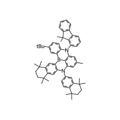 Cc1cc2c3c(c1)N(c1cccc4c1C(C)(C)c1ccccc1-4)c1ccc(C(C)(C)C)cc1B3c1cc3c(cc1N2c1ccc2c(c1)C(C)(C)CCC2(C)C)C(C)(C)CCC3(C)C